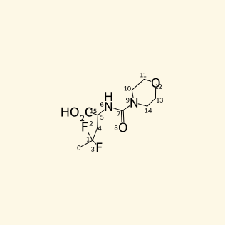 CC(F)(F)CC(NC(=O)N1CCOCC1)C(=O)O